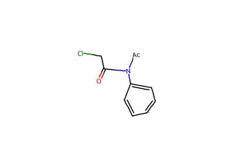 CC(=O)N(C(=O)CCl)c1cc[c]cc1